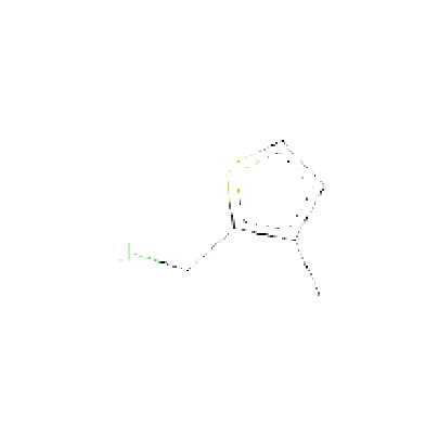 Cc1ccsc1CCl